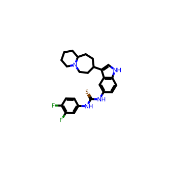 Fc1ccc(NC(=S)Nc2ccc3[nH]cc(C4CCC5CCCCN5CC4)c3c2)cc1F